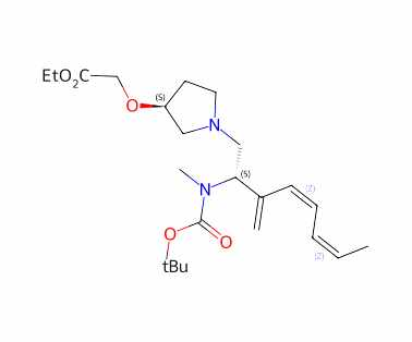 C=C(/C=C\C=C/C)[C@@H](CN1CC[C@H](OCC(=O)OCC)C1)N(C)C(=O)OC(C)(C)C